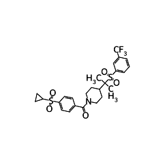 CC(C)(C1CCN(C(=O)c2ccc(S(=O)(=O)C3CC3)cc2)CC1)S(=O)(=O)c1cccc(C(F)(F)F)c1